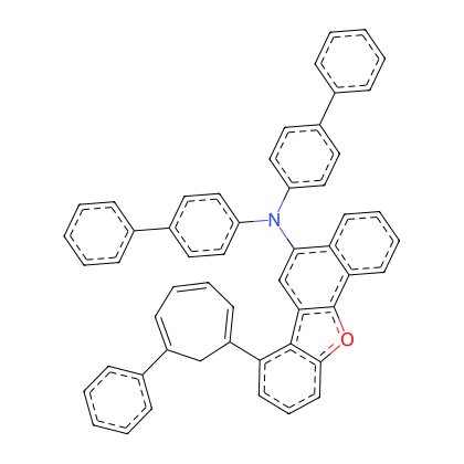 C1=CC=C(c2cccc3oc4c5ccccc5c(N(c5ccc(-c6ccccc6)cc5)c5ccc(-c6ccccc6)cc5)cc4c23)CC(c2ccccc2)=C1